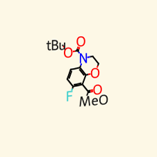 COC(=O)c1c(F)ccc2c1OCCN2C(=O)OC(C)(C)C